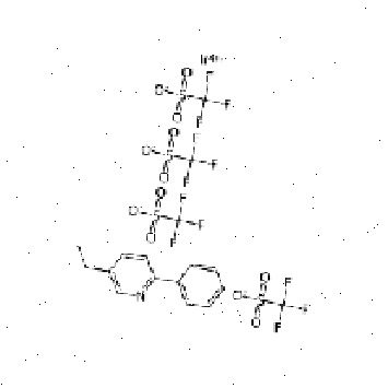 CCc1ccc(-c2ccccc2)nc1.O=S(=O)([O-])C(F)(F)F.O=S(=O)([O-])C(F)(F)F.O=S(=O)([O-])C(F)(F)F.O=S(=O)([O-])C(F)(F)F.[Ir+4]